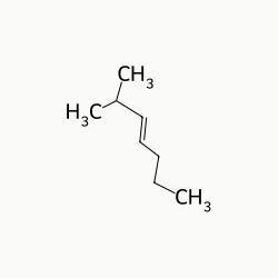 CCCC=CC(C)C